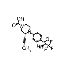 CC#C[C@H]1CN(C(=O)O)CCN1c1ccc(S(=N)(=O)C(F)(F)F)cc1